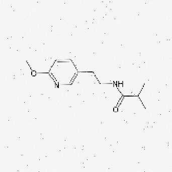 COc1ccc(CCNC(=O)C(C)C)cn1